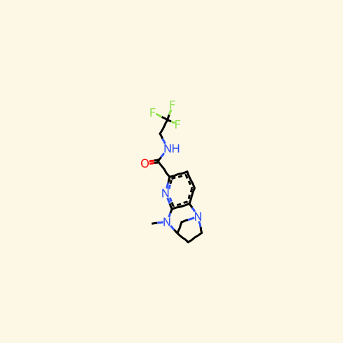 CN1c2nc(C(=O)NCC(F)(F)F)ccc2N2CCC1C2